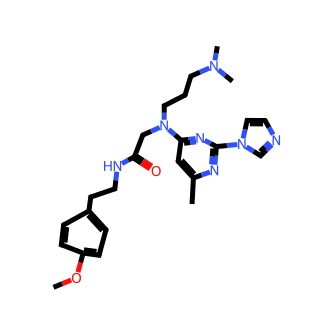 COc1ccc(CCNC(=O)CN(CCCN(C)C)c2cc(C)nc(-n3ccnc3)n2)cc1